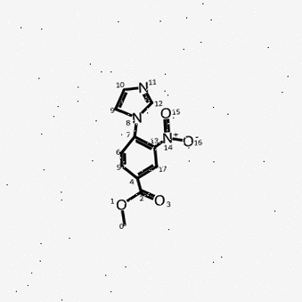 COC(=O)c1ccc(-n2ccnc2)c([N+](=O)[O-])c1